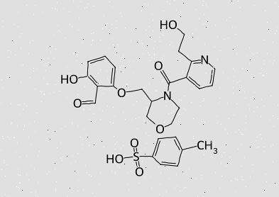 Cc1ccc(S(=O)(=O)O)cc1.O=Cc1c(O)cccc1OCC1COCCN1C(=O)c1cccnc1CCO